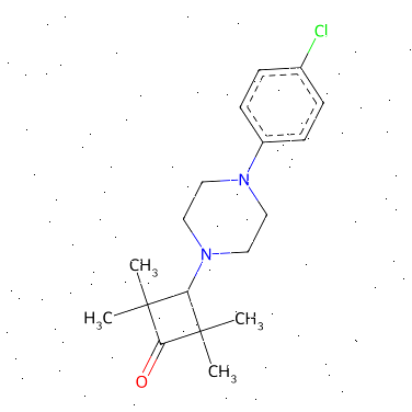 CC1(C)C(=O)C(C)(C)C1N1CCN(c2ccc(Cl)cc2)CC1